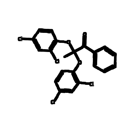 CC(Oc1ccc(Cl)cc1Cl)(Oc1ccc(Cl)cc1Cl)C(=O)c1ccccc1